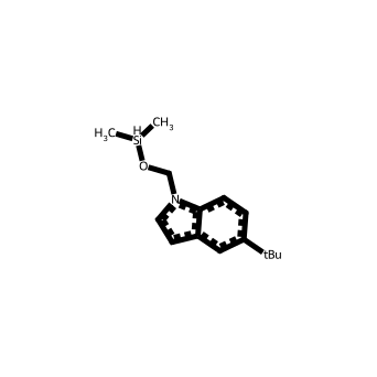 C[SiH](C)OCn1ccc2cc(C(C)(C)C)ccc21